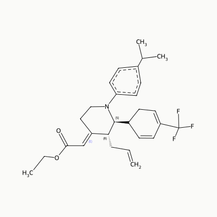 C=CC[C@@H]1/C(=C/C(=O)OCC)CCN(c2ccc(C(C)C)cc2)[C@H]1C1C=CC(C(F)(F)F)=CC1